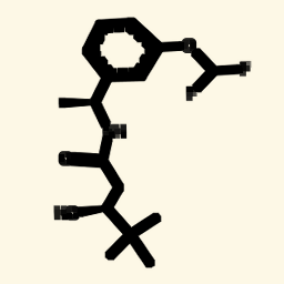 C[C@H](NC(=O)C[C@H](O)C(C)(C)C)c1cccc(OC(F)F)c1